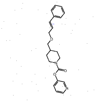 O=C(Oc1cccnc1)N1CCC(COC/C=C/c2ccccc2)CC1